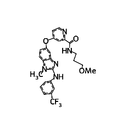 COCCCNC(=O)c1cc(Oc2ccc3c(c2)nc(Nc2cccc(C(F)(F)F)c2)n3C)ccn1